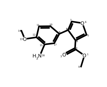 COC(=O)c1cocc1-c1ccc(OC)c(N)c1